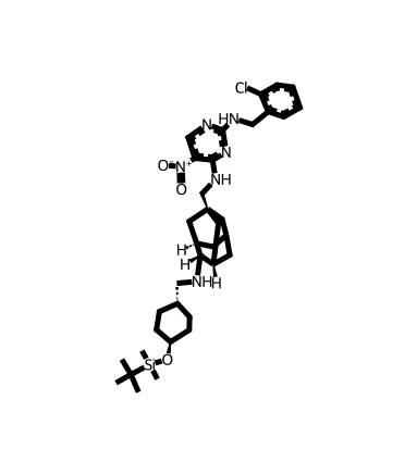 CC(C)(C)[Si](C)(C)O[C@H]1CC[C@H](CN[C@@H]2[C@@H]3CC4C[C@H]2C[C@@](CNc2nc(NCc5ccccc5Cl)ncc2[N+](=O)[O-])(C4)C3)CC1